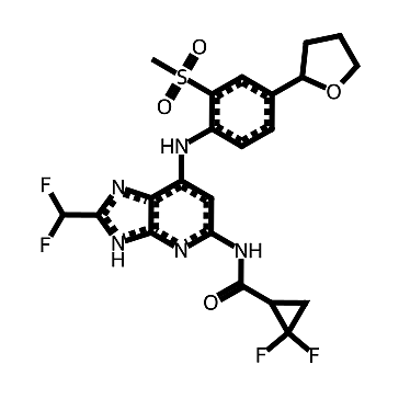 CS(=O)(=O)c1cc(C2CCCO2)ccc1Nc1cc(NC(=O)C2CC2(F)F)nc2[nH]c(C(F)F)nc12